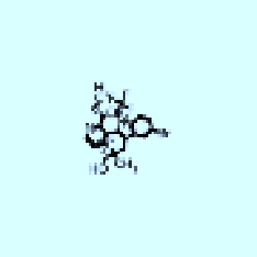 COC(C)c1ncccc1-c1c(CC(C)(C)CO)c2cc(Br)ccc2n1CC(F)(F)F